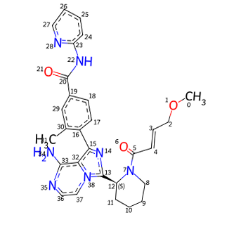 COCC=CC(=O)N1CCCC[C@H]1c1nc(-c2ccc(C(=O)Nc3ccccn3)cc2C)c2c(N)nccn12